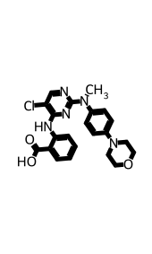 CN(c1ccc(N2CCOCC2)cc1)c1ncc(Cl)c(Nc2ccccc2C(=O)O)n1